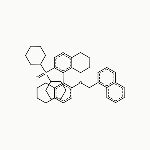 O=P(c1ccc2c(c1-c1c(OCc3cccc4ccccc34)ccc3c1CCCC3)CCCC2)(C1CCCCC1)C1CCCCC1